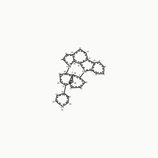 c1ccc(-n2c3ccccc3c3ccc4ccn(-c5ccc(-c6ccncc6)cn5)c4c32)cc1